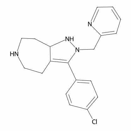 Clc1ccc(C2=C3CCNCCC3NN2Cc2ccccn2)cc1